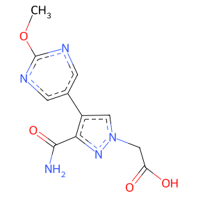 COc1ncc(-c2cn(CC(=O)O)nc2C(N)=O)cn1